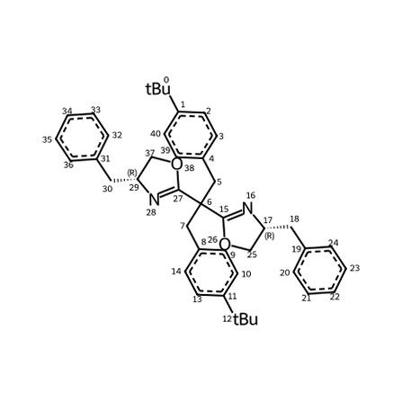 CC(C)(C)c1ccc(CC(Cc2ccc(C(C)(C)C)cc2)(C2=N[C@H](Cc3ccccc3)CO2)C2=N[C@H](Cc3ccccc3)CO2)cc1